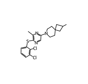 Cc1nc(N2CCC3(CC2)CC(C)C3)cnc1Sc1cccc(Cl)c1Cl